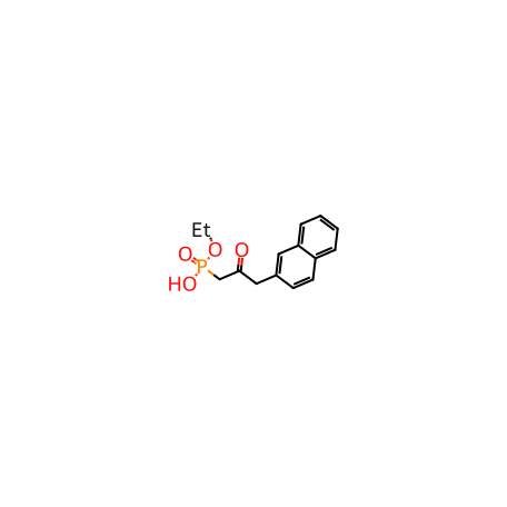 CCOP(=O)(O)CC(=O)Cc1ccc2ccccc2c1